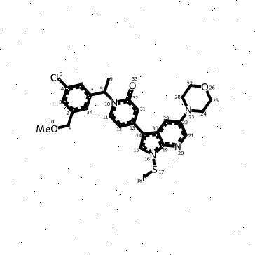 COCc1cc(Cl)cc(C(C)n2ccc(-c3cn(SI)c4ncc(N5CCOCC5)cc34)cc2=O)c1